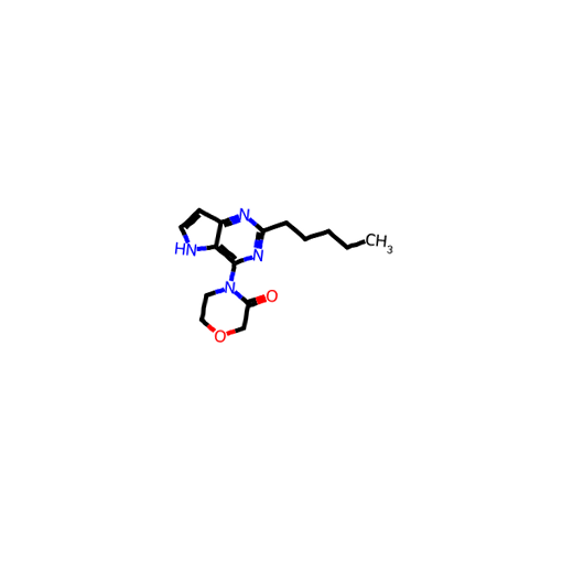 CCCCCc1nc(N2CCOCC2=O)c2[nH]ccc2n1